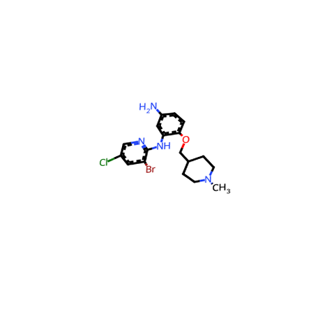 CN1CCC(COc2ccc(N)cc2Nc2ncc(Cl)cc2Br)CC1